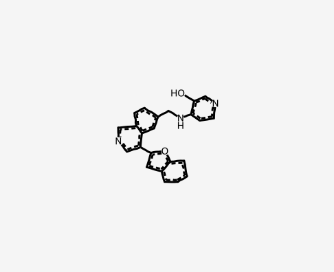 Oc1cnccc1NCc1ccc2cncc(-c3cc4ccccc4o3)c2c1